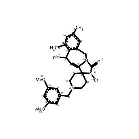 CCCC1C=C2N(Cc3cc(C)cc(C)c31)C(=O)N(CC)C21CCN(Cc2cc(OC)cc(OC)c2)CC1